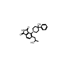 CC(O)Cc1ccc2c(c1N1CCC(C#N)(c3ccccc3)CC1)C(=O)NC2=O